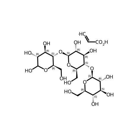 OC[C@H]1O[C@@H](O[C@H]2[C@H](O)[C@@H](O)[C@H](O[C@H]3[C@H](O)[C@@H](O)C(O)O[C@@H]3CO)O[C@@H]2CO)[C@H](O)[C@@H](O)[C@@H]1O.[CH]=CC(=O)O